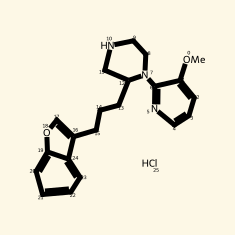 COc1cccnc1N1CCNCC1CCCc1coc2ccccc12.Cl